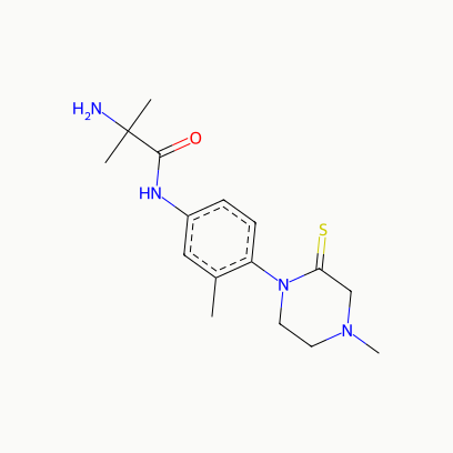 Cc1cc(NC(=O)C(C)(C)N)ccc1N1CCN(C)CC1=S